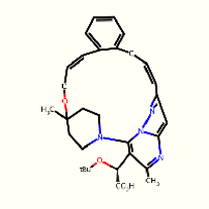 Cc1nc2cc3nn2c(c1[C@H](OC(C)(C)C)C(=O)O)N1CCC(C)(CC1)OCC=Cc1ccccc1CC=C3